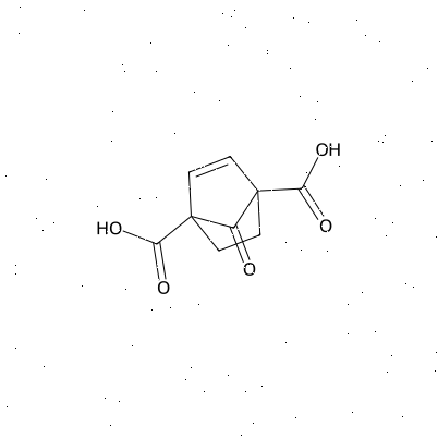 O=C(O)C12C=CC(C(=O)O)(CC1)C2=O